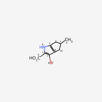 CC1Cc2[nH]c(C(=O)O)c(Br)c2C1